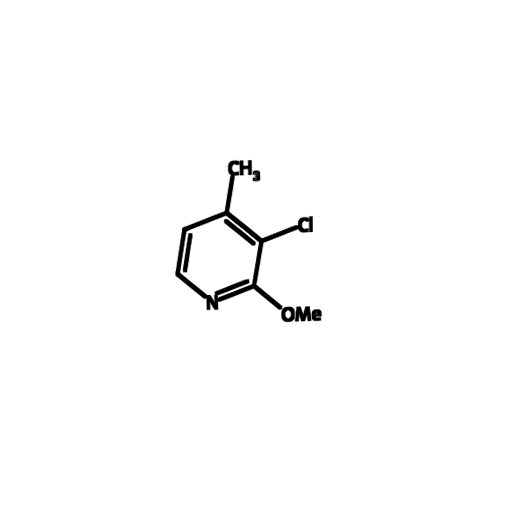 COc1nccc(C)c1Cl